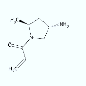 C=CC(=O)N1C[C@@H](N)C[C@@H]1C